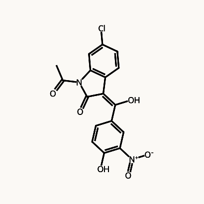 CC(=O)N1C(=O)C(=C(O)c2ccc(O)c([N+](=O)[O-])c2)c2ccc(Cl)cc21